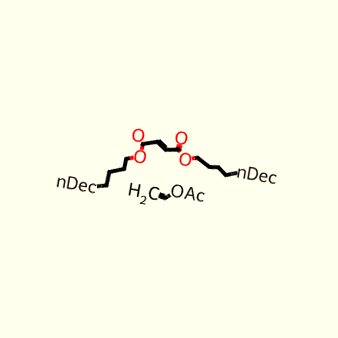 C=COC(C)=O.CCCCCCCCCCCCCCOC(=O)C=CC(=O)OCCCCCCCCCCCCCC